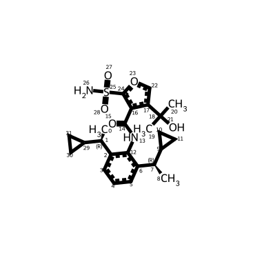 C[C@@H](c1cccc([C@H](C)C2CC2)c1NC(=O)c1c(C(C)(C)O)coc1S(N)(=O)=O)C1CC1